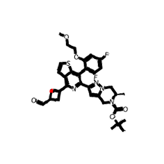 COCCOc1cc(F)cc(F)c1-c1c(-c2cc3n(n2)C[C@@H](C)N(C(=O)OC(C)(C)C)C3)nc(C23CC(C=O)(C2)C3)c2ccsc12